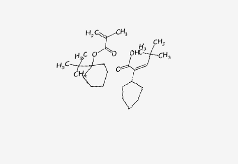 C=C(C)C(=O)OC1(C(C)(C)C)CCCCC1.CC(C)(C)C=C(C(=O)O)C1CCCCC1